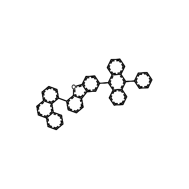 c1ccc(-c2c3ccccc3c(-c3ccc4oc5c(-c6cccc7ccc8ccccc8c67)cccc5c4c3)c3ccccc23)cc1